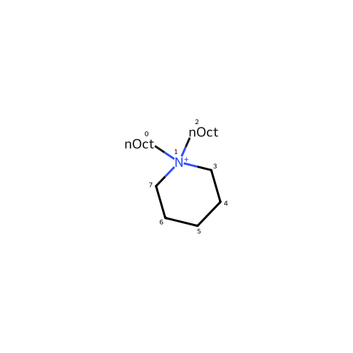 CCCCCCCC[N+]1(CCCCCCCC)CCCCC1